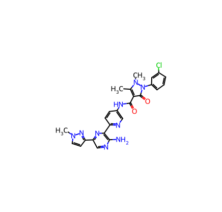 Cc1c(C(=O)Nc2ccc(-c3nc(-c4ccn(C)n4)cnc3N)nc2)c(=O)n(-c2cccc(Cl)c2)n1C